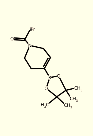 CC(C)C(=O)N1CC=C(B2OC(C)(C)C(C)(C)O2)CC1